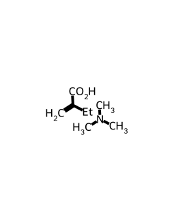 C=C(CC)C(=O)O.CN(C)C